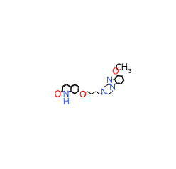 COc1cccc2c1nc1n2CCN(CCCCOc2ccc3ccc(=O)[nH]c3c2)C1